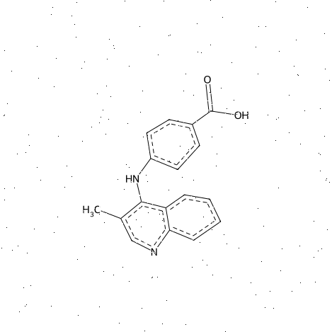 Cc1cnc2ccccc2c1Nc1ccc(C(=O)O)cc1